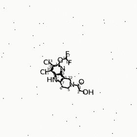 O=C(CO)N1CCc2[nH]c3c(Cl)c(Cl)c(OC(F)F)nc3c2C1